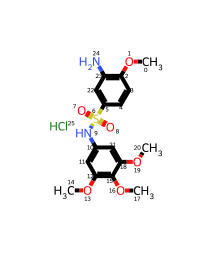 COc1ccc(S(=O)(=O)Nc2cc(OC)c(OC)c(OC)c2)cc1N.Cl